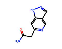 NC(=O)Cc1cc2[nH]ncc2cn1